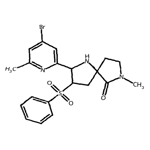 Cc1cc(Br)cc(C2NC3(CCN(C)C3=O)CC2S(=O)(=O)c2ccccc2)n1